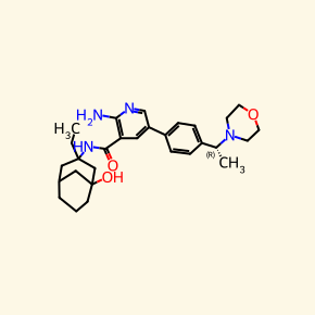 CCC1(NC(=O)c2cc(-c3ccc([C@@H](C)N4CCOCC4)cc3)cnc2N)CC2CCCC(O)(C2)C1